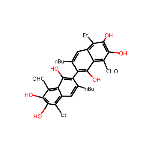 CCCCc1cc2c(CC)c(O)c(O)c(C=O)c2c(O)c1-c1c(CCCC)cc2c(CC)c(O)c(O)c(C=O)c2c1O